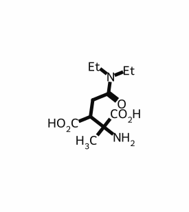 CCN(CC)C(=O)CC(C(=O)O)C(C)(N)C(=O)O